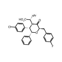 CCC[C@@H](C(=O)O)N1C(=O)[C@@H](Cc2ccc(F)cc2)O[C@H](c2ccccc2)[C@@H]1c1ccc(Cl)cc1